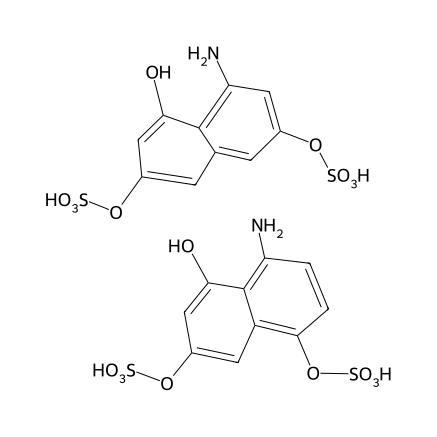 Nc1cc(OS(=O)(=O)O)cc2cc(OS(=O)(=O)O)cc(O)c12.Nc1ccc(OS(=O)(=O)O)c2cc(OS(=O)(=O)O)cc(O)c12